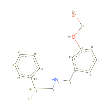 C[C@@H](CNCc1cccc(OCBr)c1)c1ccccc1